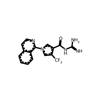 N=C(N)NC(=O)c1cn(-c2nccc3ccccc23)cc1C(F)(F)F